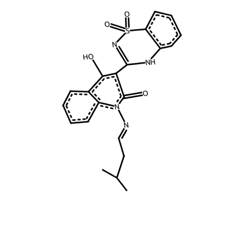 CC(C)C/C=N/n1c(=O)c(C2=NS(=O)(=O)c3ccccc3N2)c(O)c2ccccc21